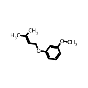 COc1cccc(OCC=C(C)C)c1